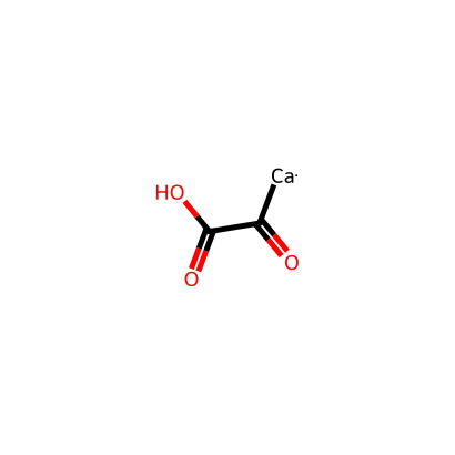 O=C(O)[C](=O)[Ca]